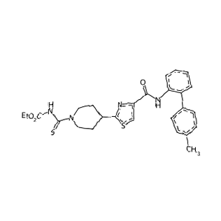 CCOC(=O)NC(=S)N1CCC(c2nc(C(=O)Nc3ccccc3-c3ccc(C)cc3)cs2)CC1